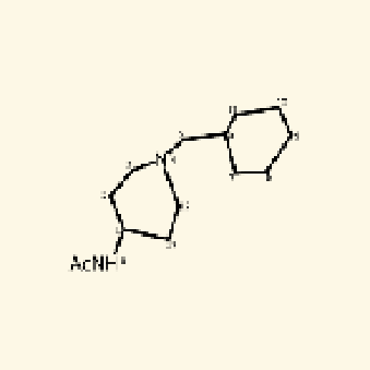 CC(=O)NC1CCN(CC2CCCCC2)CC1